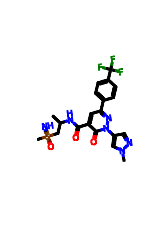 CC(CS(C)(=N)=O)NC(=O)c1cc(-c2ccc(C(F)(F)F)cc2)nn(-c2cnn(C)c2)c1=O